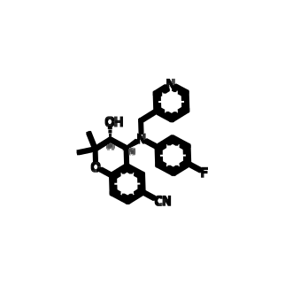 CC1(C)Oc2ccc(C#N)cc2[C@H](N(Cc2cccnc2)c2ccc(F)cc2)[C@H]1O